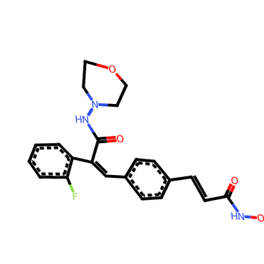 O=C(/C=C/c1ccc(C=C(C(=O)NN2CCOCC2)c2ccccc2F)cc1)NO